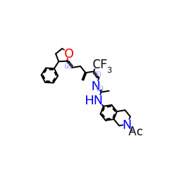 C=C(C/C=C1\OCCC1c1ccccc1)/C(=C\N=C(/C)Nc1ccc2c(c1)CCN(C(C)=O)C2)C(F)(F)F